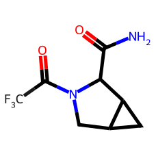 NC(=O)C1C2CC2CN1C(=O)C(F)(F)F